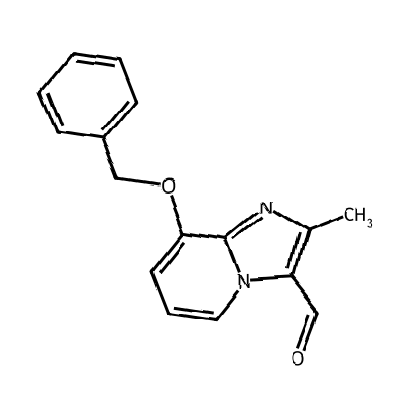 Cc1nc2c(OCc3ccccc3)cccn2c1C=O